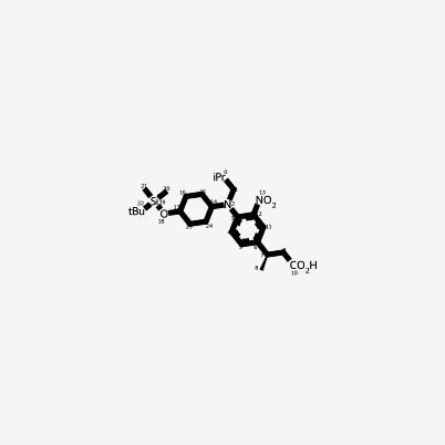 CC(C)CN(c1ccc([C@H](C)CC(=O)O)cc1[N+](=O)[O-])C1CCC(O[Si](C)(C)C(C)(C)C)CC1